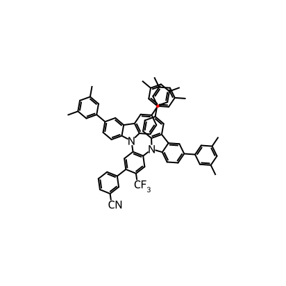 Cc1cc(C)cc(-c2ccc3c(c2)c2cc(-c4cc(C)cc(C)c4)ccc2n3-c2cc(-c3cccc(C#N)c3)c(C(F)(F)F)cc2-n2c3ccc(-c4cc(C)cc(C)c4)cc3c3cc(-c4cc(C)cc(C)c4)ccc32)c1